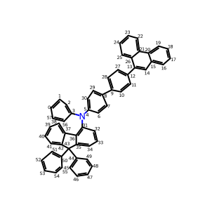 c1ccc(N(c2ccc(-c3ccc(-c4cc5ccccc5c5ccccc45)cc3)cc2)c2cccc3c2-c2ccccc2C3(c2ccccc2)c2ccccc2)cc1